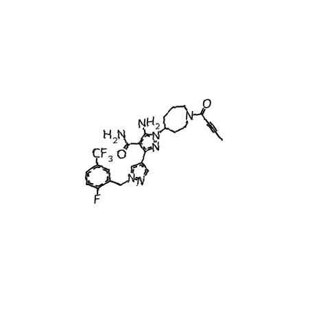 CC#CC(=O)N1CCC[C@H](n2nc(-c3cnn(Cc4cc(C(F)(F)F)ccc4F)c3)c(C(N)=O)c2N)CC1